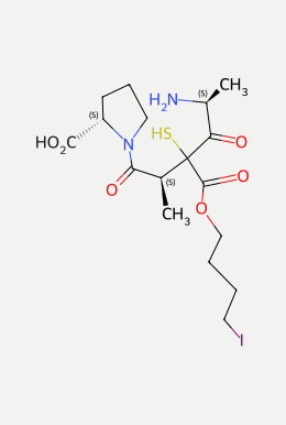 C[C@H](N)C(=O)C(S)(C(=O)OCCCCI)[C@@H](C)C(=O)N1CCC[C@H]1C(=O)O